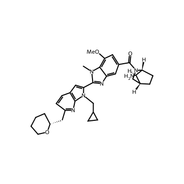 COc1cc(C(=O)N2C[C@H]3CC[C@@H]2[C@@H]3N)cc2nc(-c3cc4ccc(C[C@H]5CCCCO5)nc4n3CC3CC3)n(C)c12